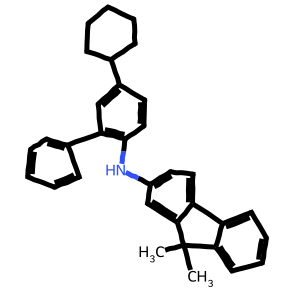 CC1(C)c2ccccc2-c2ccc(Nc3ccc(C4CCCCC4)cc3-c3ccccc3)cc21